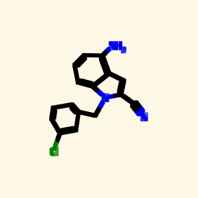 N#Cc1cc2c(N)cccc2n1Cc1cccc(Cl)c1